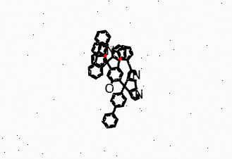 c1ccc(-c2ccc3c(c2)Oc2cc4c(cc2C32c3cccnc3-c3ncc(-c5cccc(-n6c7ccccc7c7ccccc76)c5)cc32)-c2ccccc2C42c3ccccc3-c3ccccc32)cc1